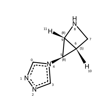 c1nncn1[C@@H]1[C@H]2CN[C@H]21